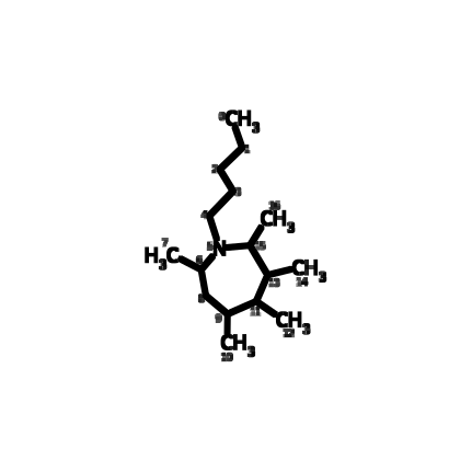 CCCCCN1C(C)CC(C)C(C)C(C)C1C